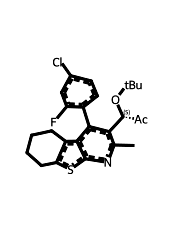 CC(=O)[C@@H](OC(C)(C)C)c1c(C)nc2sc3c(c2c1-c1ccc(Cl)cc1F)CCCC3